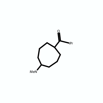 CNC1CCCC(C(=O)C(C)C)CCC1